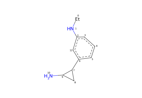 CCNc1cccc(C2CC2N)c1